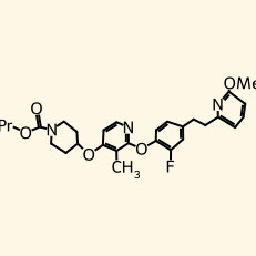 COc1cccc(CCc2ccc(Oc3nccc(OC4CCN(C(=O)OC(C)C)CC4)c3C)c(F)c2)n1